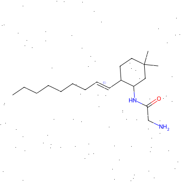 CCCCCCC/C=C/C1CCC(C)(C)CC1NC(=O)CN